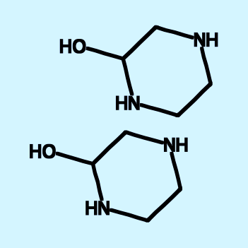 OC1CNCCN1.OC1CNCCN1